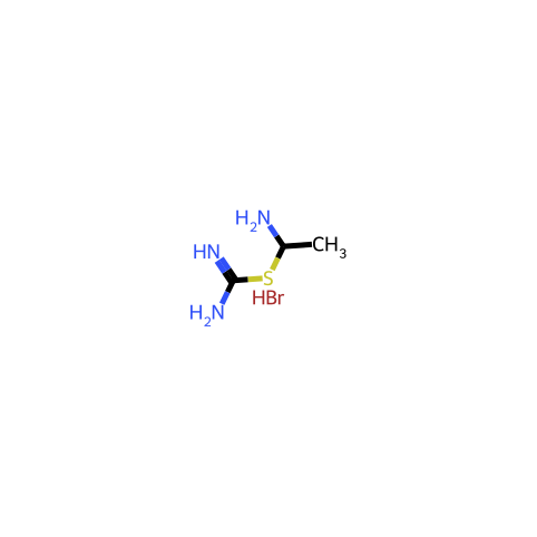 Br.CC(N)SC(=N)N